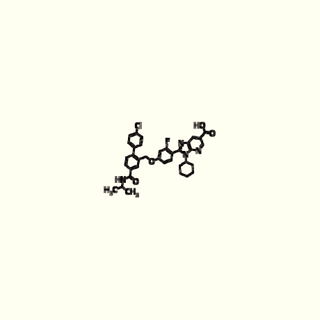 CC(C)NC(=O)c1ccc(-c2ccc(Cl)cc2)c(COc2ccc(-c3nc4cc(C(=O)O)cnc4n3C3CCCCC3)c(F)c2)c1